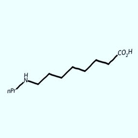 CCCNCCCCCCCC(=O)O